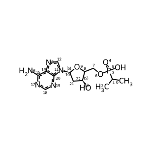 CC(C)P(=O)(O)OCC1O[C@H](n2cnc3c(N)ncnc32)C[C@@H]1O